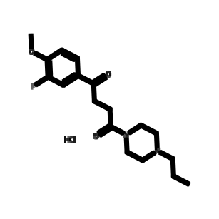 CCCN1CCN(C(=O)CCC(=O)c2ccc(OC)c(F)c2)CC1.Cl